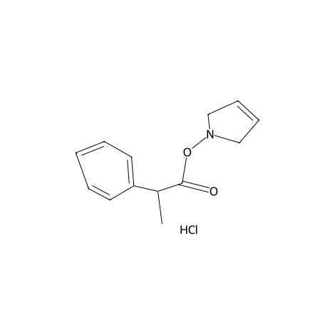 CC(C(=O)ON1CC=CC1)c1ccccc1.Cl